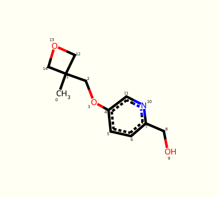 CC1(COc2ccc(CO)nc2)COC1